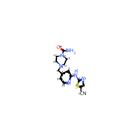 N#Cc1cnc(Nc2cc(CN3CCN(C(N)=O)CC3)ccn2)s1